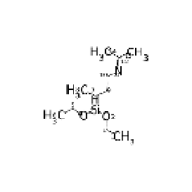 CCO[SiH](OCC)C(C)CCN=C(C)C